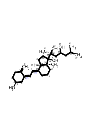 C=C1CC[C@H](O)C/C1=C/C=C1\CCC[C@@]2(C)[C@H]1CC[C@]2(O)[C@@](C)(O)CC(O)CC(C)C